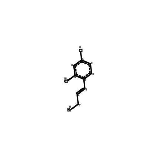 Clc1ccc(C=CCBr)c(Cl)c1